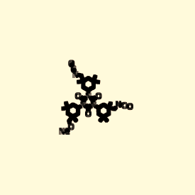 CC1(C)CC(n2c(=O)n(C3CC(C)(C)CC(C)(CN=C=O)C3)c(=O)n(C3CC(C)(C)CC(C)(COC#N)C3)c2=O)CC(C)(CN=C=O)C1